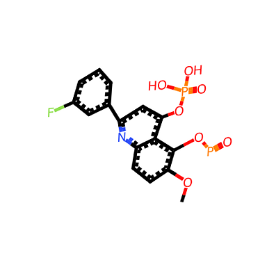 COc1ccc2nc(-c3cccc(F)c3)cc(OP(=O)(O)O)c2c1OP=O